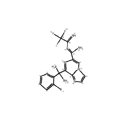 BC(B)(c1ccccc1F)c1nc(/C(N)=N/C(=N)C(F)(F)F)cn2ccnc12